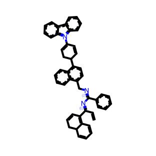 C=C/C(=N\C(=N/Cc1ccc(C2C=CC(n3c4ccccc4c4ccccc43)=CC2)c2ccccc12)c1ccccc1)C1=C2C=CC=CC2CC=C1